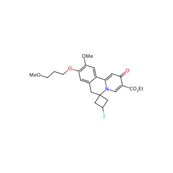 CCOC(=O)c1cn2c(cc1=O)-c1cc(OC)c(OCCCOC)cc1CC21CC(F)C1